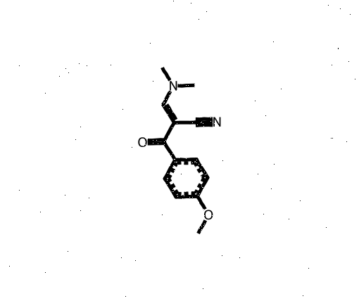 COc1ccc(C(=O)C(C#N)=CN(C)C)cc1